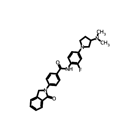 CN(C)C1CCN(c2ccc(NC(=O)c3ccc(N4Cc5ccccc5C4=O)cc3)c(F)c2)C1